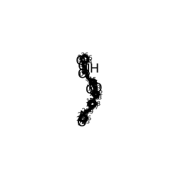 O=C(C=Cc1ccn(S(=O)(=O)c2ccc(-c3ccc(CCN4CCOCC4)cc3)s2)c1)NOC1CCCCO1